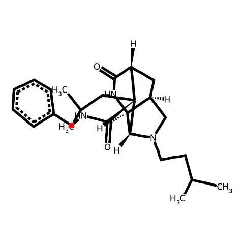 CC(C)CCN1C[C@@H]2C[C@H]3C(=O)N[C@]2(C(=O)NCc2ccccc2)[C@@H]1[C@@H]3CC(C)C